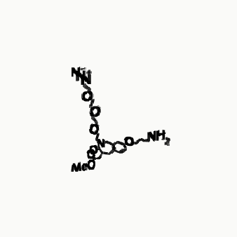 COC(=O)C[C@@H]1Cc2ccc(OCCCN)cc2CN(CCOCCOCCOCCN=[N+]=[N-])C1=O